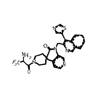 NC(C(=O)N1CCC2(CC1)C(=O)N(Cc1ncc3ccccc3c1-c1cncs1)c1cnccc12)C(F)(F)F